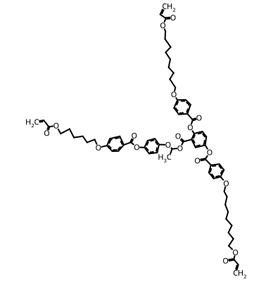 C=CC(=O)OCCCCCCCCCOc1ccc(C(=O)Oc2ccc(OC(=O)c3ccc(OCCCCCCCCCOC(=O)C=C)cc3)c(C(=O)OC(C)Oc3ccc(OC(=O)c4ccc(OCCCCCCOC(=O)C=C)cc4)cc3)c2)cc1